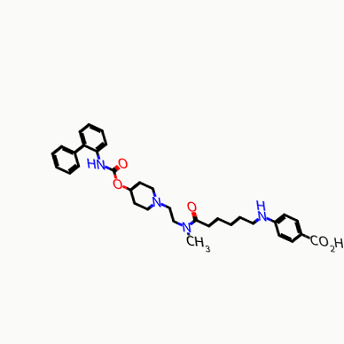 CN(CCN1CCC(OC(=O)Nc2ccccc2-c2ccccc2)CC1)C(=O)CCCCCNc1ccc(C(=O)O)cc1